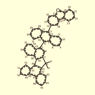 CC1(C)c2cc(-c3c4ccccc4c(-c4ccc5oc6ccccc6c5c4)c4ccccc34)c3ccccc3c2-c2c1c1ccccc1c1ccccc21